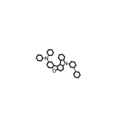 c1ccc(-c2cccc(-n3c4ccccc4c4c5c(ccc43)oc3ccc(N(c4ccccc4)c4ccccc4)cc35)c2)cc1